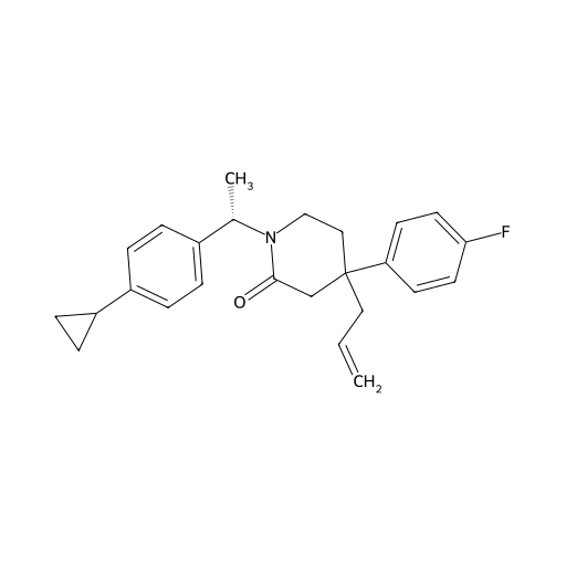 C=CCC1(c2ccc(F)cc2)CCN([C@@H](C)c2ccc(C3CC3)cc2)C(=O)C1